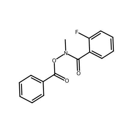 CN(OC(=O)c1ccccc1)C(=O)c1ccccc1F